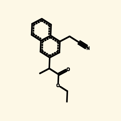 CCOC(=O)C(C)c1cc(CC#N)c2ccccc2c1